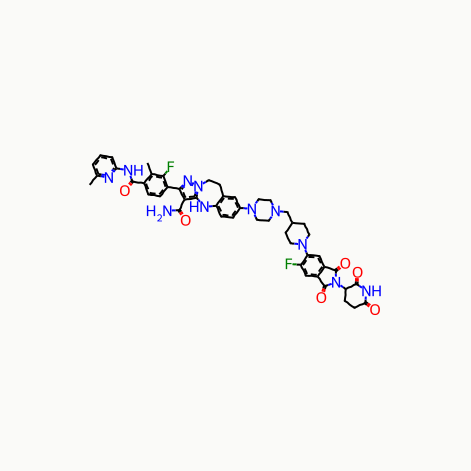 Cc1cccc(NC(=O)c2ccc(-c3nn4c(c3C(N)=O)Nc3ccc(N5CCN(CC6CCN(c7cc8c(cc7F)C(=O)N(C7CCC(=O)NC7=O)C8=O)CC6)CC5)cc3CC4)c(F)c2C)n1